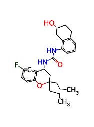 CCCC1(CCC)C[C@@H](NC(=O)Nc2cccc3c2C[C@H](O)CC3)c2cc(F)ccc2O1